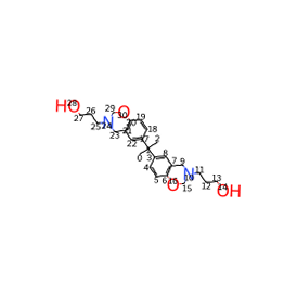 CC(C)(c1ccc2c(c1)CN(CCCO)CO2)c1ccc2c(c1)CN(CCCO)CO2